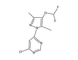 Cc1nn(-c2cc(Cl)ncn2)c(C)c1OC(F)F